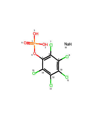 O=P(O)(O)Oc1c(Cl)c(Cl)c(Cl)c(Cl)c1Cl.[NaH]